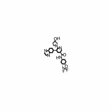 O=C(Nc1ccc(OC(F)(F)I)cc1)c1cnc(N2CC[C@@H](O)C2)c(-c2ccc3nccnc3c2)c1